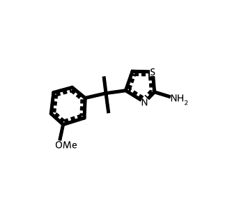 COc1cccc(C(C)(C)c2csc(N)n2)c1